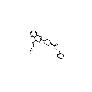 C/C=C/COc1nc(N2CCN(C(=O)OCc3ccccc3)CC2)nc2ccccc12